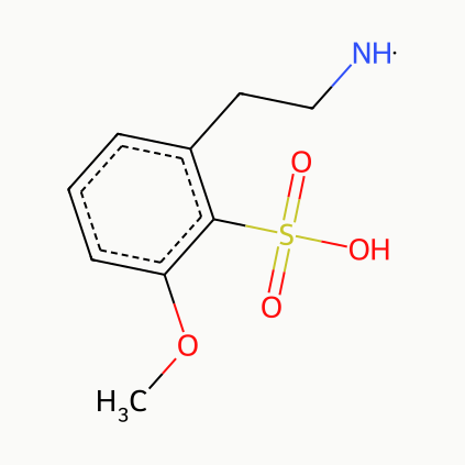 COc1cccc(CC[NH])c1S(=O)(=O)O